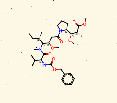 [CH2]OC(=O)[C@H](C)[C@@H](OC)[C@@H]1CCCN1C(=O)C[C@@H](OC)[C@H]([C@@H](C)CC)N(C)C(=O)[C@@H](NC(=O)OCc1ccccc1)C(C)C